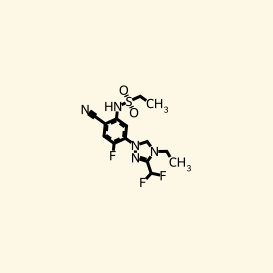 CCN1CN(c2cc(NS(=O)(=O)CC)c(C#N)cc2F)N=C1C(F)F